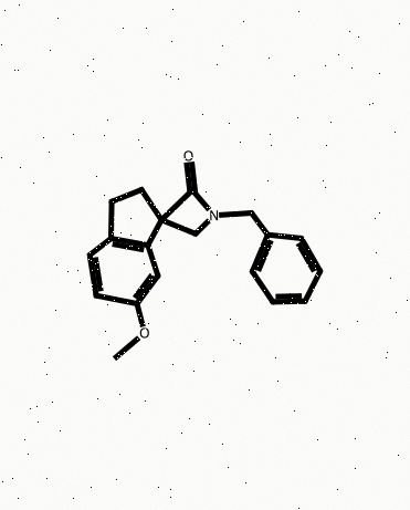 COc1ccc2c(c1)C1(CC2)CN(Cc2ccccc2)C1=O